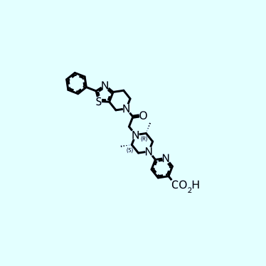 C[C@@H]1CN(c2ccc(C(=O)O)cn2)C[C@H](C)N1CC(=O)N1CCc2nc(-c3ccccc3)sc2C1